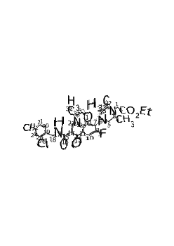 CCOC(=O)CN1[C@H](C)CN(c2c(F)cc3c(=O)c(C(=O)NCc4ccc(Cl)cc4Cl)cn4c3c2OC[C@@H]4C)C[C@@H]1C